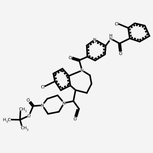 CC(C)(C)OC(=O)N1CCN(C(C=O)C2CCCN(C(=O)c3ccc(NC(=O)c4ccccc4Cl)nc3)c3ccc(Cl)cc32)CC1